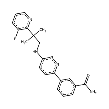 CC(C)(CNc1ccc(-c2cccc(C(N)=O)c2)nn1)c1ncccc1F